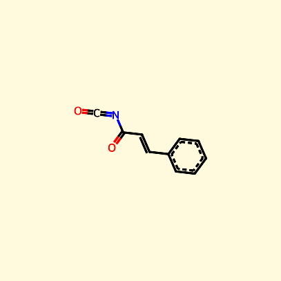 O=C=NC(=O)C=Cc1ccccc1